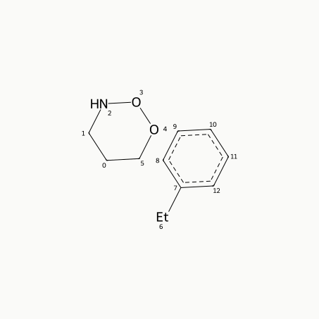 C1CNOOC1.CCc1ccccc1